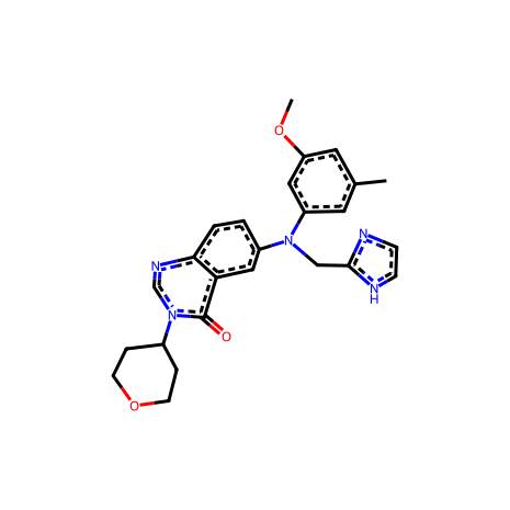 COc1cc(C)cc(N(Cc2ncc[nH]2)c2ccc3ncn(C4CCOCC4)c(=O)c3c2)c1